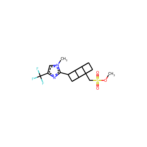 COS(=O)(=O)CC12C3C4C1C1C2C3C41c1nc(C(F)(F)F)cn1C